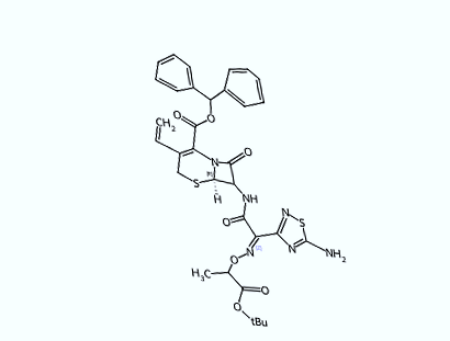 C=CC1=C(C(=O)OC(c2ccccc2)c2ccccc2)N2C(=O)C(NC(=O)/C(=N\OC(C)C(=O)OC(C)(C)C)c3nsc(N)n3)[C@H]2SC1